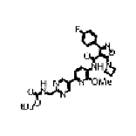 COc1nc(-c2cnc(CNC(=O)OC(C)(C)C)nc2)ccc1NC(=O)c1c(-c2ccc(F)cc2)noc1N1CCC1